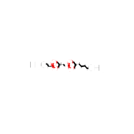 CCCCC[C@H]1CO[C@H](CC[C@H]2CO[C@H](CCC)OC2)OC1